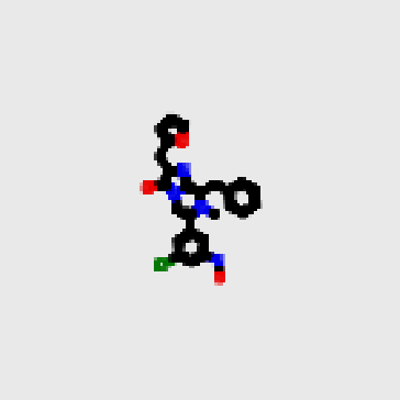 Cn1c(-c2cc(Cl)cc(N=O)c2)cn2c(=O)c(Cc3ccco3)nc-2c1Cc1ccccc1